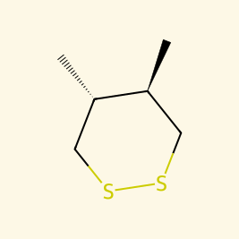 C[C@H]1CSSC[C@@H]1C